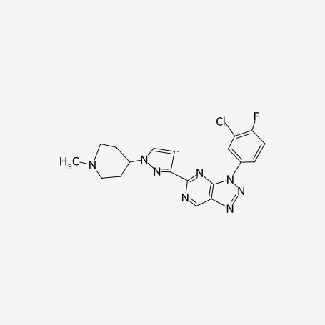 CN1CCC(n2c[c]c(-c3ncc4nnn(-c5ccc(F)c(Cl)c5)c4n3)n2)CC1